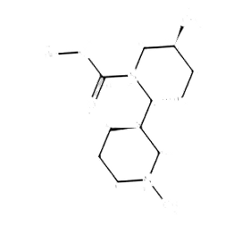 C[C@H]1CC[C@H]([C@@H]2CCCN(C)C2)N(C(=O)OC(C)(C)C)C1